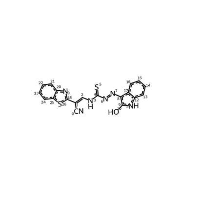 N#C/C(=C\NC(=S)N=Nc1c(O)[nH]c2ccccc12)c1nc2ccccc2s1